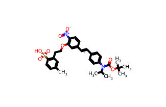 Cc1ccc(S(=O)(=O)O)c(CCOc2cc(/C=C/c3ccc(N(C(=O)OC(C)(C)C)C(C)C)cc3)ccc2[N+](=O)[O-])c1